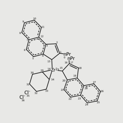 CCCC1=Cc2c(ccc3ccccc23)[CH]1[Zr+2]1([CH]2C(CCC)=Cc3c2ccc2ccccc32)[CH]2CCCC[CH]21.[Cl-].[Cl-]